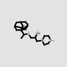 CC(OCC(O)CN1CCOCC1)C12CC3CC(CC(C3)C1)C2